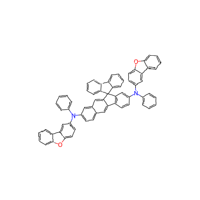 c1ccc(N(c2ccc3c(c2)C2(c4ccccc4-c4ccccc42)c2cc4cc(N(c5ccccc5)c5ccc6oc7ccccc7c6c5)ccc4cc2-3)c2ccc3oc4ccccc4c3c2)cc1